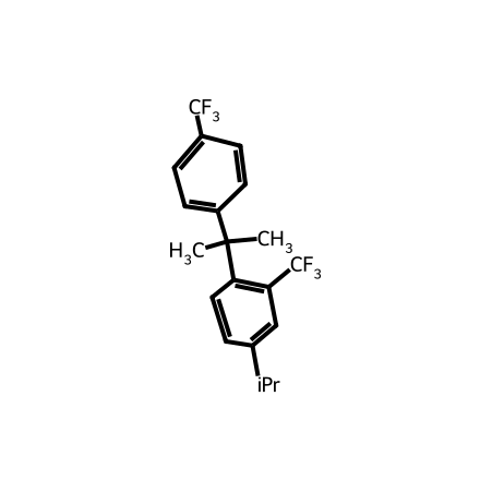 CC(C)c1ccc(C(C)(C)c2ccc(C(F)(F)F)cc2)c(C(F)(F)F)c1